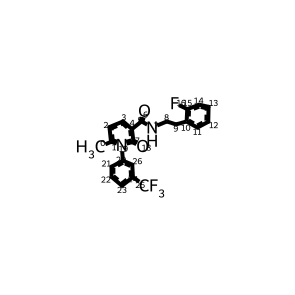 Cc1ccc(C(=O)NCCc2ccccc2F)c(=O)n1-c1cccc(C(F)(F)F)c1